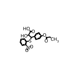 CCC(=O)Oc1ccc(C(Sc2ccccc2[N+](=O)[O-])C(O)C(=O)O)cc1